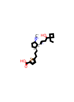 [C-]#[N+][C@@H]1CC[C@H](CCCc2ccc(C(=O)O)s2)[C@H]1/C=C/CC(O)C1(CC)CCC1